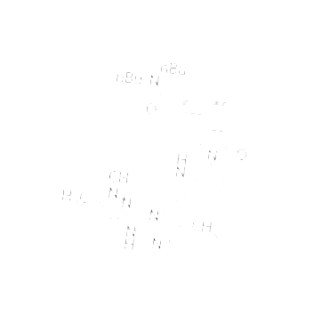 CCCCN(CCCC)C(=O)/C=C/c1cccc2c1CN(c1cccc3c(-c4nc(Nc5cc(C)n(C)n5)ncc4C)c[nH]c13)C2=O